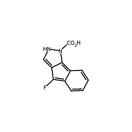 O=C(O)n1[nH]cc2c(F)c3ccccc3c1-2